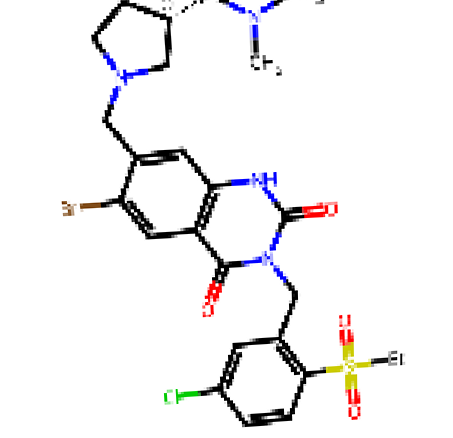 CCS(=O)(=O)c1ccc(Cl)cc1Cn1c(=O)[nH]c2cc(CN3CC[C@H](CN(C)C)C3)c(Br)cc2c1=O